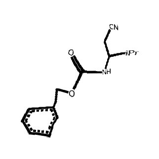 CC(C)C(CC#N)NC(=O)OCc1ccccc1